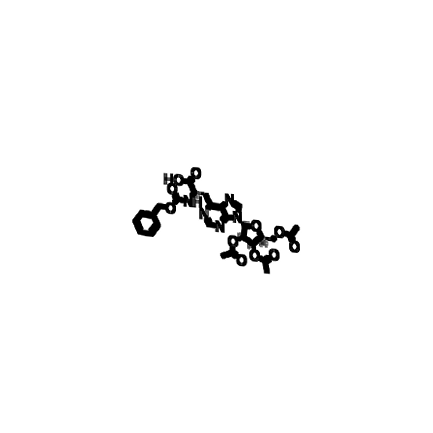 CC(=O)OC[C@H]1O[C@@H](n2cnc3c(C[C@H](NC(=O)OCc4ccccc4)C(=O)O)ncnc32)[C@H](OC(C)=O)[C@@H]1OC(C)=O